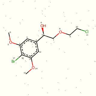 COc1cc([C@@H](O)COCCCl)cc(OC)c1Br